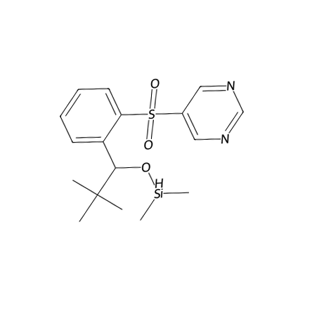 C[SiH](C)OC(c1ccccc1S(=O)(=O)c1cncnc1)C(C)(C)C